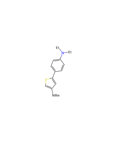 CCN(CC)c1ccc(-c2cc(NC)cs2)cc1